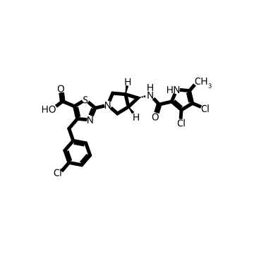 Cc1[nH]c(C(=O)N[C@@H]2[C@@H]3CN(c4nc(Cc5cccc(Cl)c5)c(C(=O)O)s4)C[C@@H]32)c(Cl)c1Cl